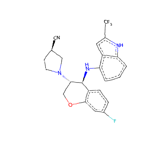 N#C[C@@H]1CCN([C@H]2COc3cc(F)ccc3[C@@H]2Nc2cccc3[nH]c(C(F)(F)F)cc23)C1